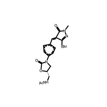 CC(=O)NC[C@H]1CN(c2ccc(C=C3C(=O)N(C)N=C3C(C)(C)C)cc2)C(=O)O1